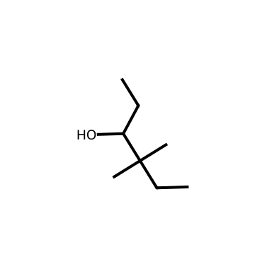 CCC(O)C(C)(C)CC